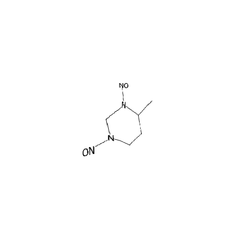 CC1CCN(N=O)CN1N=O